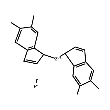 Cc1cc2c(cc1C)[CH]([Zr+2][CH]1C=Cc3cc(C)c(C)cc31)C=C2.[F-].[F-]